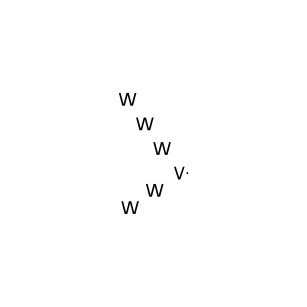 [V].[W].[W].[W].[W].[W]